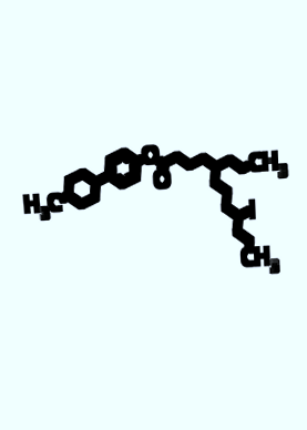 CCCC(I)CCCC(CCC)CCCC(=O)Oc1ccc(C2CCC(C)CC2)cc1